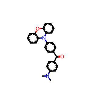 CN(C)c1ccc(C(=O)c2ccc(N3c4ccccc4Oc4ccccc43)cc2)cc1